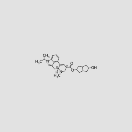 CC(C)n1cc2c3c(cccc31)C1=C[C@@H](C(=O)OC3CC4CC(O)CC4C3)CN(C)[C@@H]1C2